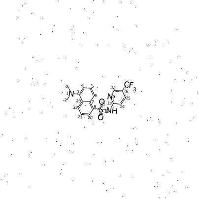 CN(C)c1cccc2c(S(=O)(=O)Nc3ccc(C(F)(F)F)cn3)cccc12